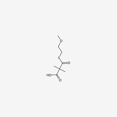 COCCSC(=O)C(C)(C)C(=O)O